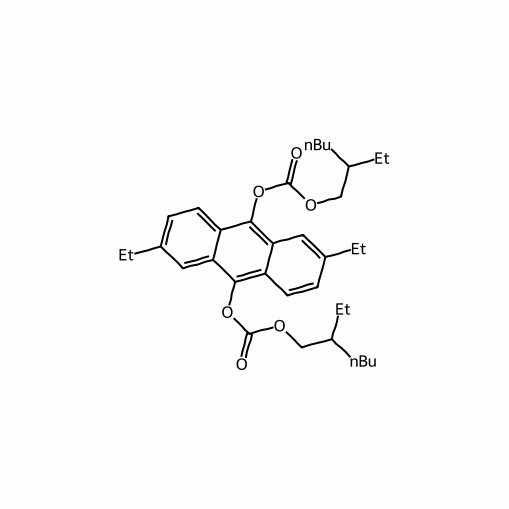 CCCCC(CC)COC(=O)Oc1c2ccc(CC)cc2c(OC(=O)OCC(CC)CCCC)c2ccc(CC)cc12